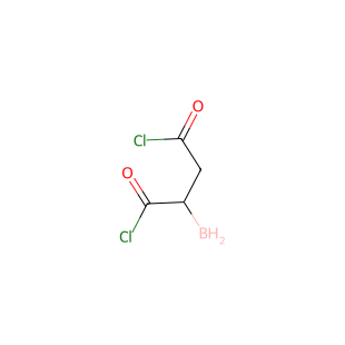 BC(CC(=O)Cl)C(=O)Cl